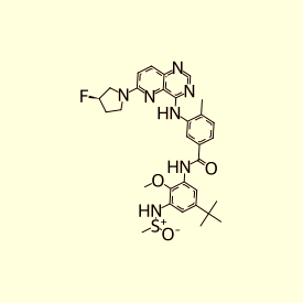 COc1c(NC(=O)c2ccc(C)c(Nc3ncnc4ccc(N5CC[C@@H](F)C5)nc34)c2)cc(C(C)(C)C)cc1N[S+](C)[O-]